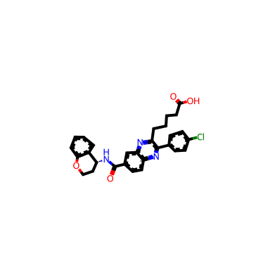 O=C(O)CCCCc1nc2cc(C(=O)N[C@@H]3CCOc4ccccc43)ccc2nc1-c1ccc(Cl)cc1